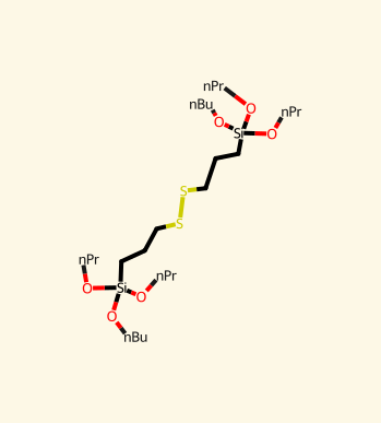 CCCCO[Si](CCCSSCCC[Si](OCCC)(OCCC)OCCCC)(OCCC)OCCC